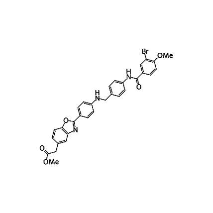 COC(=O)Cc1ccc2oc(-c3ccc(NCc4ccc(NC(=O)c5ccc(OC)c(Br)c5)cc4)cc3)nc2c1